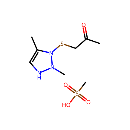 CC(=O)CSN1C(C)=CNN1C.CS(=O)(=O)O